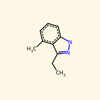 CCC1=N[N]c2cccc(C)c21